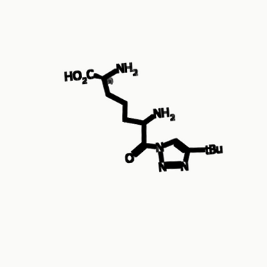 CC(C)(C)c1cn(C(=O)C(N)CCC[C@H](N)C(=O)O)nn1